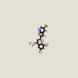 O=C(/C=C(\c1cc(Cl)cc(Cl)c1)C(F)(F)F)c1cc2cc(Br)cnc2s1